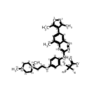 Cc1noc(C)c1-c1cc(C)c2nc(Nc3ccc(OCC[N+]4(C)CCN(C)CC4)cc3)nnc2c1.O=C([O-])C(F)(F)F